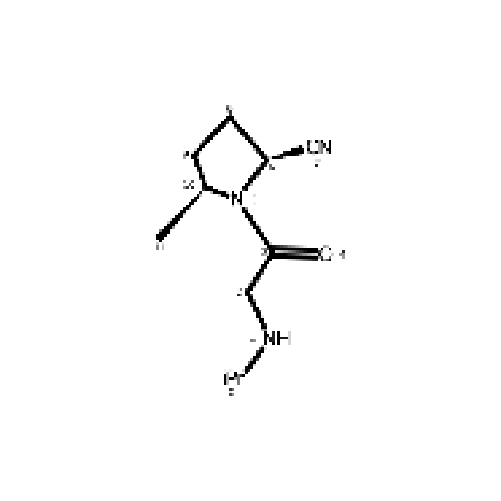 CC(C)NCC(=O)N1[C@H](C#N)CC[C@@H]1C